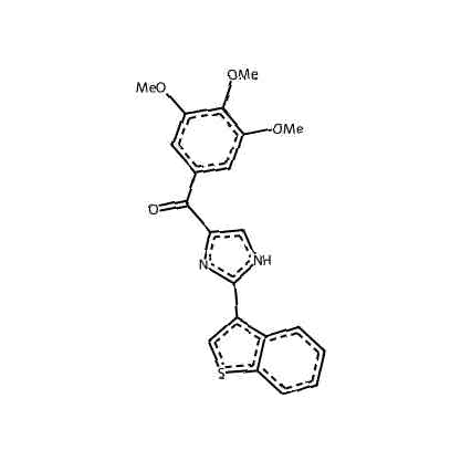 COc1cc(C(=O)c2c[nH]c(-c3csc4ccccc34)n2)cc(OC)c1OC